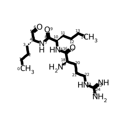 CCCC[C@H]([C]=O)NC(=O)[C@@H](CCCC)NC(=O)[C@H](N)CCCNC(=N)N